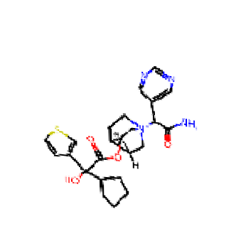 NC(=O)C(c1cncnc1)[N+]12CCC(CC1)[C@@H](OC(=O)C(O)(c1ccsc1)C1CCCC1)C2